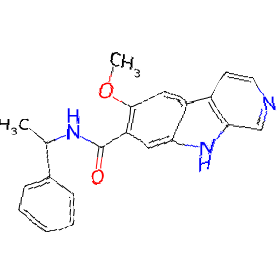 COc1cc2c(cc1C(=O)NC(C)c1ccccc1)[nH]c1cnccc12